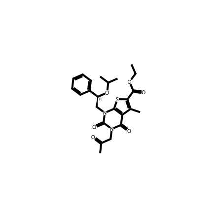 CCOC(=O)c1sc2c(c1C)c(=O)n(CC(C)=O)c(=O)n2C[C@H](OC(C)C)c1ccccc1